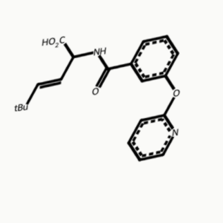 CC(C)(C)/C=C/C(NC(=O)c1cccc(Oc2ccccn2)c1)C(=O)O